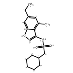 CCc1cc(C)c2c(NS(=O)(=O)CC3CCCCC3)noc2c1